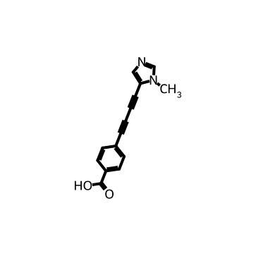 Cn1cncc1C#CC#Cc1ccc(C(=O)O)cc1